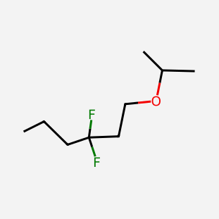 CCCC(F)(F)CCOC(C)C